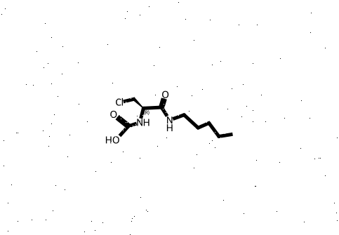 CCCCCNC(=O)[C@H](CCl)NC(=O)O